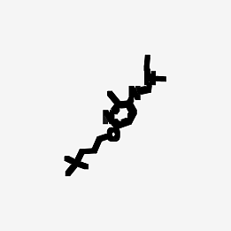 CCN(C)/C=N/c1ccc(OCCCC(C)(C)C)nc1C